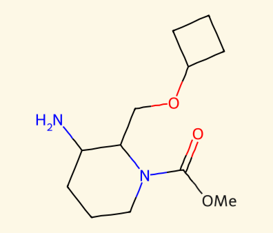 COC(=O)N1CCCC(N)C1COC1CCC1